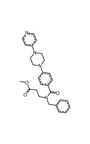 COC(=O)CCN(Cc1ccccc1)C(=O)c1ccc(N2CCN(c3ccncc3)CC2)cc1